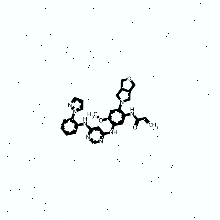 C=CC(=O)Nc1cc(Nc2cc(Nc3ccccc3-n3cccn3)ncn2)c(OC)cc1N1CC2COCC2C1